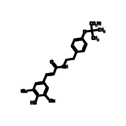 CCOC(=O)C(C)(C)Oc1ccc(CCNC(=O)C=Cc2cc(C(C)(C)C)c(O)c(C(C)(C)C)c2)cc1